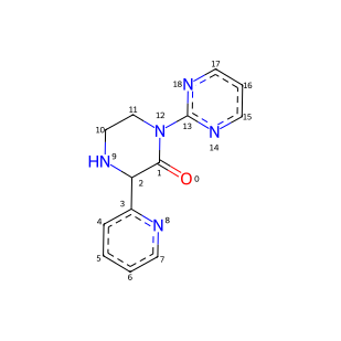 O=C1C(c2ccccn2)NCCN1c1ncccn1